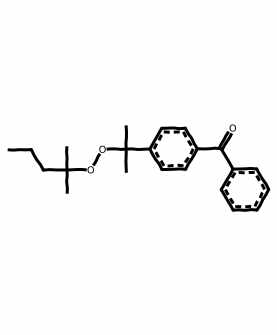 CCCC(C)(C)OOC(C)(C)c1ccc(C(=O)c2ccccc2)cc1